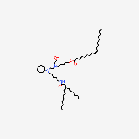 CCCCCCCC/C=C\CCCCCCCC(=O)OCCCCCN(CCO)CCN(CCCCCNC(=O)CC(CCCCCC)CCCCCCCC)C1CCCCCC1